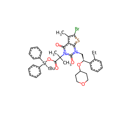 CCc1ccccc1[C@H](Cn1c(=O)n(C(C)(C)C(=O)O[Si](c2ccccc2)(c2ccccc2)C(C)(C)C)c(=O)c2c(C)c(Br)sc21)OC1CCOCC1